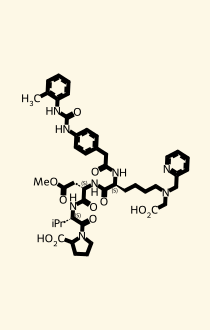 COC(=O)C[C@H](NC(=O)[C@H](CCCCN(CC(=O)O)Cc1ccccn1)NC(=O)Cc1ccc(NC(=O)Nc2ccccc2C)cc1)C(=O)N[C@H](C(=O)N1CCCC1C(=O)O)C(C)C